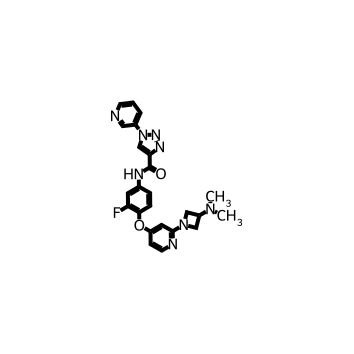 CN(C)C1CN(c2cc(Oc3ccc(NC(=O)c4cn(-c5cccnc5)nn4)cc3F)ccn2)C1